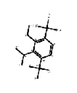 CCc1c(C(F)(F)F)ccc(C(C)(C)C)c1C(C)C